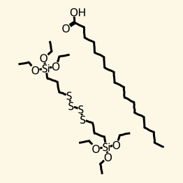 CCCCCCCCCCCCCCCCCC(=O)O.CCO[Si](CCCSSSSCCC[Si](OCC)(OCC)OCC)(OCC)OCC